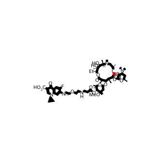 CC[C@H]1OC(=O)[C@H](C)[C@@H](OC2C[C@@](C)(OC)[C@H](OC(=O)CCNCCOCCNc3cc4c(cc3F)c(=O)c(C(=O)O)cn4C3CC3)[C@@H](C)O2)[C@H](C)[C@@H](OC2O[C@H](C)C[C@H](N(C)C)[C@H]2O)[C@](C)(O)C[C@@H](C)CN(C)[C@H](C)[C@@H](O)[C@]1(C)O